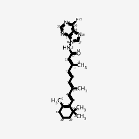 CC1=C(/C=C/C(C)=C/C=C/C(C)=C/C(=O)Nn2cnc3c(F)ncnc32)C(C)(C)CCC1